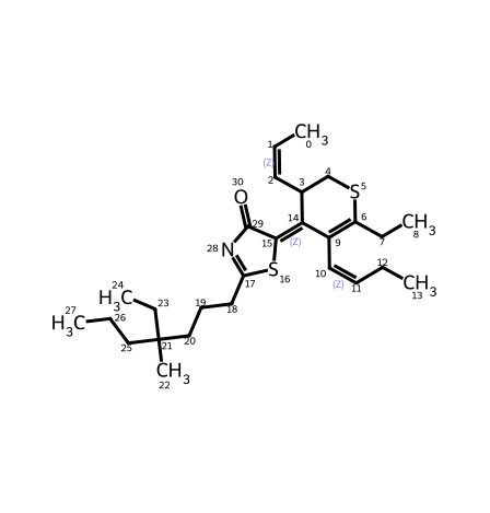 C/C=C\C1CSC(CC)=C(/C=C\CC)/C1=C1\SC(CCCC(C)(CC)CCC)=NC1=O